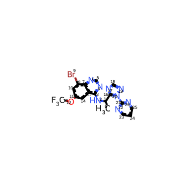 CC(Nc1ncnc2c(Br)cc(OC(F)(F)F)cc12)c1ncnn1-c1ncccn1